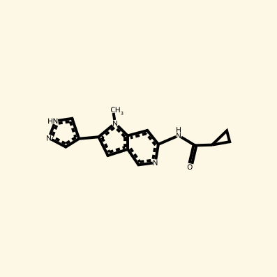 Cn1c(-c2cn[nH]c2)cc2cnc(NC(=O)C3CC3)cc21